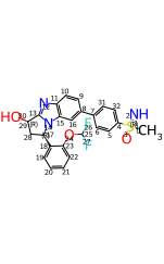 C[S@@](=N)(=O)c1ccc(-c2ccc3nc4n(c3c2)[C@@H](c2ccccc2OC(F)F)C[C@H]4O)cc1